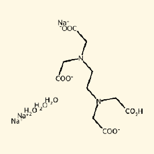 O.O.O.O=C([O-])CN(CCN(CC(=O)[O-])CC(=O)O)CC(=O)[O-].[Na+].[Na+].[Na+]